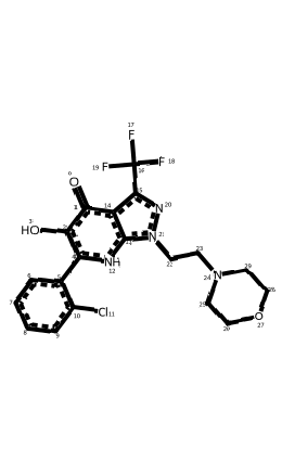 O=c1c(O)c(-c2ccccc2Cl)[nH]c2c1c(C(F)(F)F)nn2CCN1CCOCC1